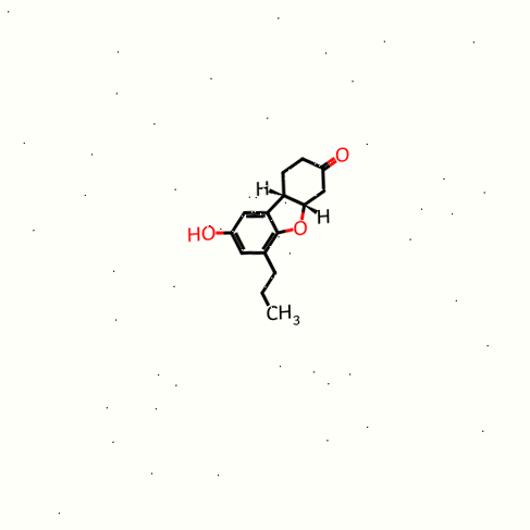 CCCc1cc(O)cc2c1O[C@H]1CC(=O)CC[C@@H]21